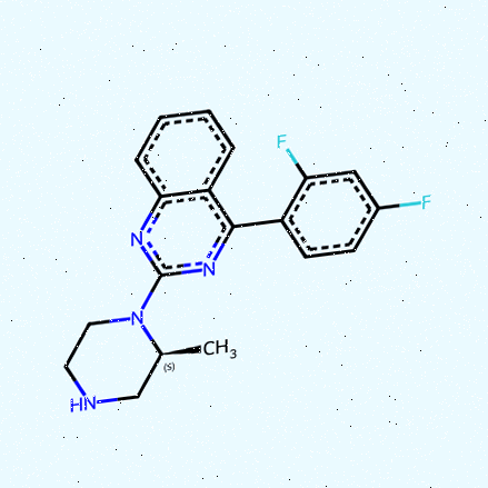 C[C@H]1CNCCN1c1nc(-c2ccc(F)cc2F)c2ccccc2n1